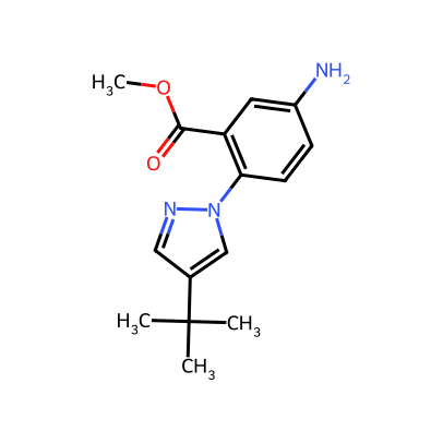 COC(=O)c1cc(N)ccc1-n1cc(C(C)(C)C)cn1